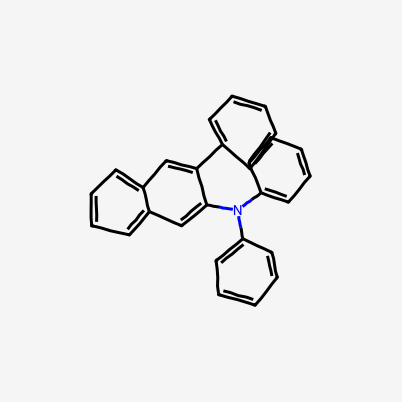 c1ccc(-c2cc3ccccc3cc2N(c2ccccc2)c2ccccc2)cc1